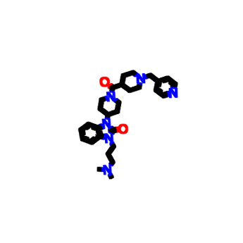 CN(C)CCCn1c(=O)n(C2CCN(C(=O)C3CCN(Cc4ccncc4)CC3)CC2)c2ccccc21